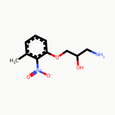 Cc1cccc(OCC(O)CN)c1[N+](=O)[O-]